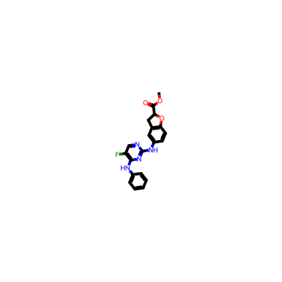 COC(=O)C1Cc2cc(Nc3ncc(F)c(Nc4ccccc4)n3)ccc2O1